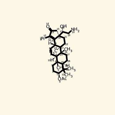 CC(=O)O[C@H]1CC[C@]2(C)[C@H]3CC[C@@H]4C5=C(C(C)C)C(=O)C[C@]5([C@H](O)CN)CC[C@@]4(C)[C@]3(C)CC[C@H]2C1(C)C